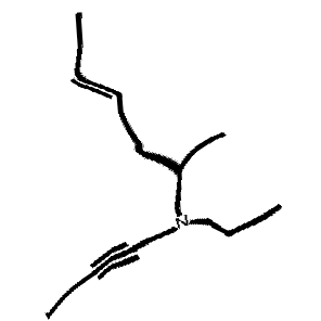 CC#CN(CC)C(C)CC=CC